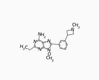 CCc1nc(N)c2nc(-c3cccc(C4CN(C)C4)c3)n(OC)c2n1